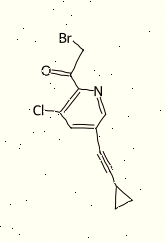 O=C(CBr)c1ncc(C#CC2CC2)cc1Cl